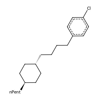 CCCCC[C@H]1CC[C@H](CCCCc2ccc(Cl)cc2)CC1